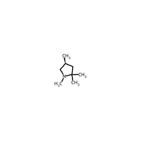 C[C@@H]1CN(C)C(C)(C)C1